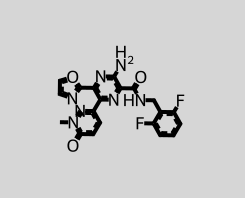 Cn1nc(-c2nc(C(=O)NCc3c(F)cccc3F)c(N)nc2-c2ncco2)ccc1=O